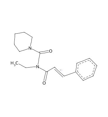 CCN(C(=O)/C=C/c1ccccc1)C(=O)N1CCCCC1